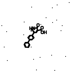 O=C(O)c1cc(-c2ccc(-c3ccccc3)cc2)n[nH]c1=O